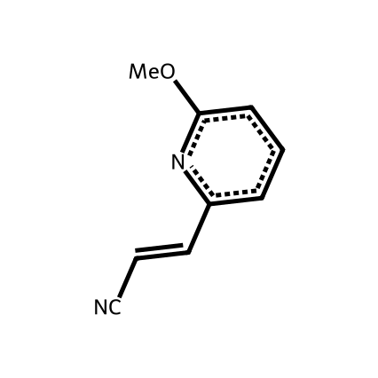 COc1cccc(C=CC#N)n1